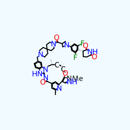 CN/C1=C(\C=N)c2cc(cc(C)n2)C(=O)/N=C2\Nc3ccc(CN4CCC5(CC4)CCN(C(=O)C4CN(c6cc(F)c([C@H]7CCC(=O)NC7=O)c(F)c6)C4)CC5)cc3N2C[C@H](C)CCCO1